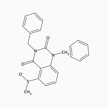 Cn1c(=O)n(Cc2ccccc2)c(=O)c2c([S+](C)[O-])cccc21.c1ccccc1